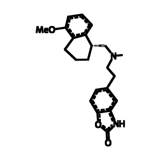 COc1cccc2c1CCC[C@H]2CN(C)CCc1ccc2oc(=O)[nH]c2c1